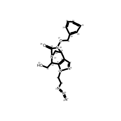 [N-]=[N+]=NCCn1ncc2c1C(CO)N1CC2N(OCc2ccccc2)C1=O